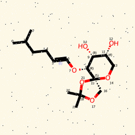 CC(C)CC/C=C/O[C@@H]1[C@H](O)[C@H](O)CO[C@]12COC(C)(C)O2